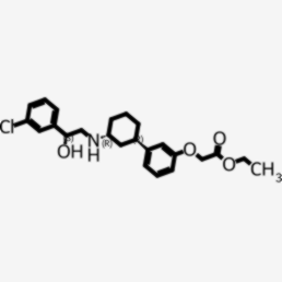 CCOC(=O)COc1cccc([C@@H]2CCC[C@@H](NC[C@@H](O)c3cccc(Cl)c3)C2)c1